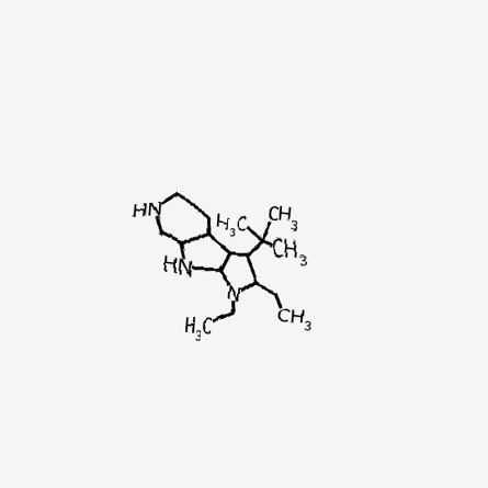 CCC1C(C(C)(C)C)C2C3CCNCC3NC2N1CC